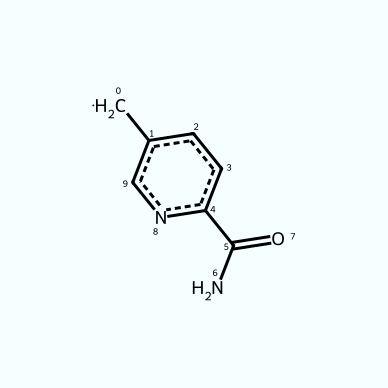 [CH2]c1ccc(C(N)=O)nc1